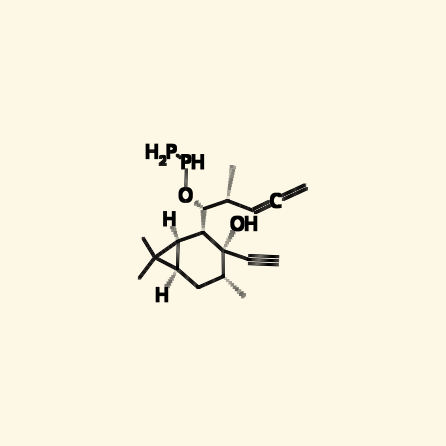 C#C[C@]1(O)[C@@H]([C@H](OPP)[C@H](C)C=C=C)[C@H]2[C@@H](C[C@H]1C)C2(C)C